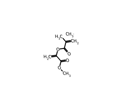 C=C(C)C(=O)OC(=C)C(=O)OC.[CH3]